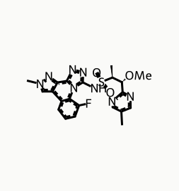 CO[C@H](c1ncc(C)cn1)[C@H](C)S(=O)(=O)Nc1nnc2c3nn(C)cc3c3cccc(F)c3n12